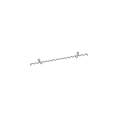 O=C(CCCCI)OCCCCCCCCCCCCCCCCCCCOC(=O)CCCCI